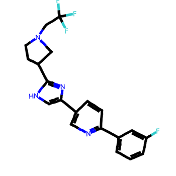 Fc1cccc(-c2ccc(-c3c[nH]c(C4CCN(CC(F)(F)F)C4)n3)cn2)c1